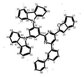 c1ccc(-c2cccc(-c3cc(-c4cc5ccccc5o4)nc(-c4cc(-n5c6ccccc6c6ccccc65)cc(-n5c6ccccc6c6ccccc65)c4)n3)c2)cc1